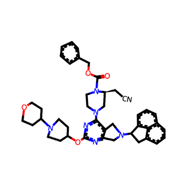 N#CC[C@H]1CN(c2nc(OC3CCN(C4CCOCC4)CC3)nc3c2CN(C2Cc4cccc5cccc2c45)C3)CCN1C(=O)OCc1ccccc1